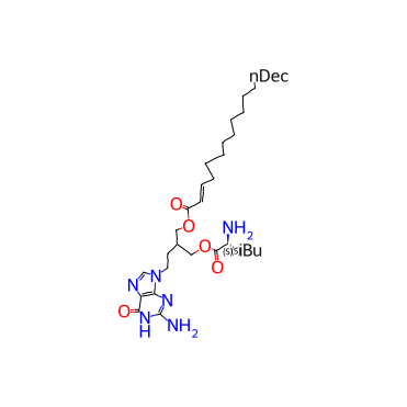 CCCCCCCCCCCCCCCCCCCC=CC(=O)OCC(CCn1cnc2c(=O)[nH]c(N)nc21)COC(=O)[C@@H](N)[C@@H](C)CC